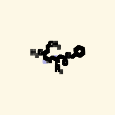 CCC=C(C)/C=N\C=C(/C)CC(=O)OCc1ccccc1